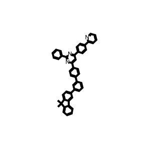 CC1(C)c2ccccc2-c2cc(-c3cccc(-c4ccc(-c5cc(-c6ccc(-c7ccccn7)cc6)nc(-c6ccccc6)n5)cc4)c3)ccc21